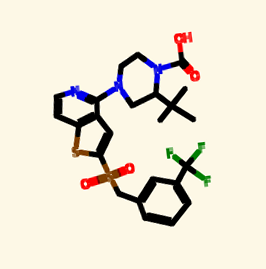 CC(C)(C)C1CN(c2nccc3sc(S(=O)(=O)Cc4cccc(C(F)(F)F)c4)cc23)CCN1C(=O)O